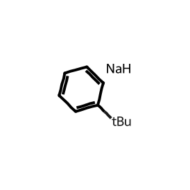 CC(C)(C)c1ccccc1.[NaH]